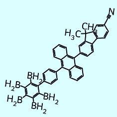 Bc1c(B)c(B)c(-c2ccc(-c3c4ccccc4c(-c4ccc5c(c4)C(C)(C)c4cc(C#N)ccc4-5)c4ccccc34)cc2)c(B)c1B